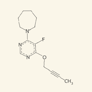 CC#CCOc1ncnc(N2CCCCCC2)c1F